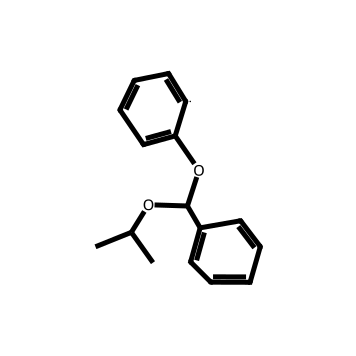 CC(C)OC(Oc1[c]cccc1)c1ccccc1